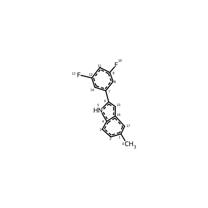 Cc1ccc2[nH]c(-c3cc(F)cc(F)c3)cc2c1